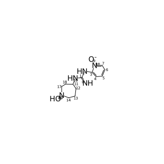 N=C(Nc1cccc[n+]1[O-])NC1CCCN(O)CC1